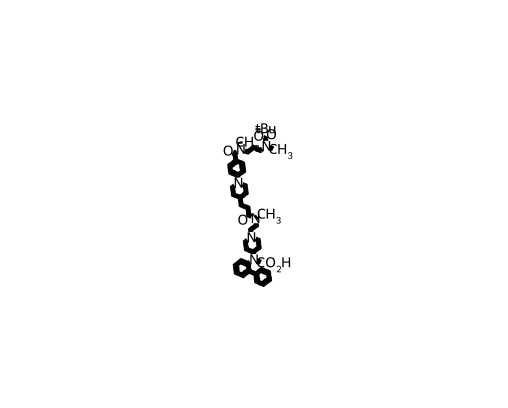 CN(CCN1CCC(N(C(=O)O)c2ccccc2-c2ccccc2)CC1)C(=O)CCC1CCN(c2ccc(C(=O)N(C)CCCN(C)C(=O)OC(C)(C)C)cc2)CC1